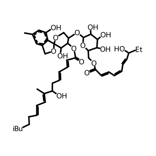 CCC(O)/C=C/C=C\C=C\C(=O)OCC1OC(OC2COC3(OCc4cc(C)cc(O)c43)C(O)C2OC(=O)/C=C/C=C/CC(O)/C(C)=C/C=C/CCC(C)CC)C(O)C(O)C1O